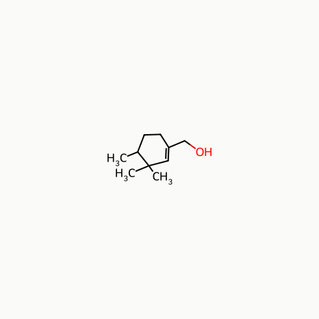 CC1CCC(CO)=CC1(C)C